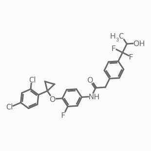 CC(O)C(F)(F)c1ccc(CC(=O)Nc2ccc(OC3(c4ccc(Cl)cc4Cl)CC3)c(F)c2)cc1